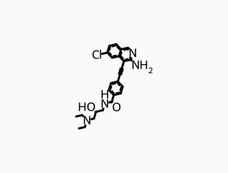 CCN(CC)CC(O)CNC(=O)c1ccc(C#Cc2c(N)ncc3ccc(Cl)cc23)cc1